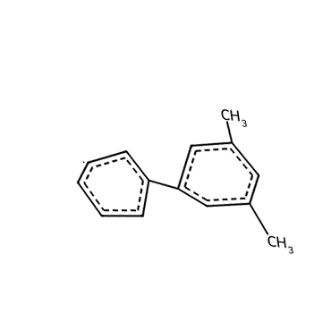 Cc1cc(C)cc(-c2c[c]ccc2)c1